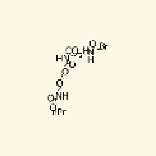 CCCOCC(=O)NCCOCCOCC(=O)N[C@H](CCCCNC(=O)CBr)C(=O)O